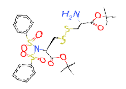 CC(C)(C)OC(=O)[C@@H](N)CSSC[C@@H](C(=O)OC(C)(C)C)N(S(=O)(=O)c1ccccc1)S(=O)(=O)c1ccccc1